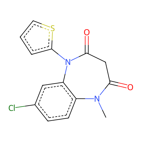 CN1C(=O)CC(=O)N(c2cccs2)c2cc(Cl)ccc21